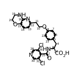 O=C(N[C@@H](Cc1ccc(OCCc2ccc3c(n2)NCCO3)cc1)C(=O)O)c1c(Cl)cncc1Cl